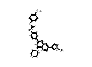 CC(=O)Nc1ccc(NC(=O)Nc2ccc(-c3nc(N4CCOCC4)c4ncc(-c5cnn(C)c5)cc4n3)cc2)cc1